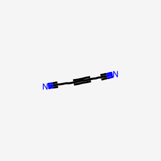 N#CC#CC#N